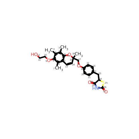 Cc1c(C)c2c(c(C)c1OCCO)C=CC(C)(COc1ccc(CC3SC(=O)NC3=O)cc1)O2